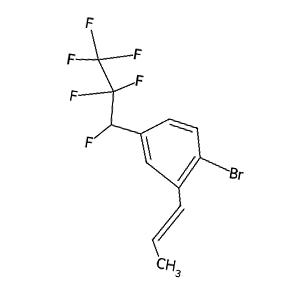 CC=Cc1cc(C(F)C(F)(F)C(F)(F)F)ccc1Br